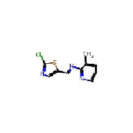 Cc1cccnc1N=Cc1cnc(Cl)s1